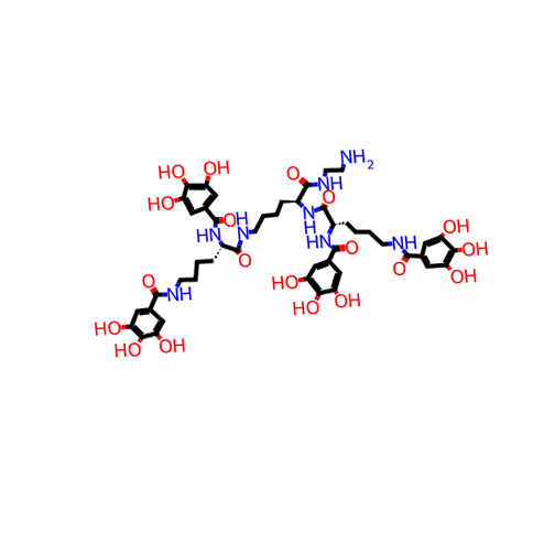 NCCNC(=O)[C@H](CCCCNC(=O)[C@H](CCCCNC(=O)c1cc(O)c(O)c(O)c1)NC(=O)c1cc(O)c(O)c(O)c1)NC(=O)[C@H](CCCCNC(=O)c1cc(O)c(O)c(O)c1)NC(=O)c1cc(O)c(O)c(O)c1